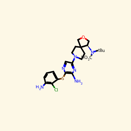 CC(C)(C)N(C(=O)O)[C@@H]1COCC12CCN(c1cnc(Sc3cccc(N)c3Cl)c(N)n1)CC2